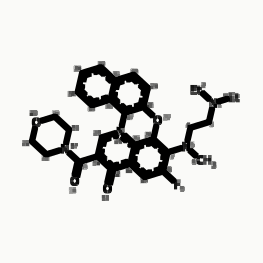 CCN(CC)CCN(C)c1c(F)cc2c(=O)c(C(=O)N3CCOCC3)cn3c2c1Oc1ccc2ccccc2c1-3